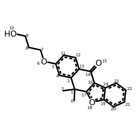 CC1(C)c2cc(OCCCO)ccc2C(=O)c2c1oc1ccccc21